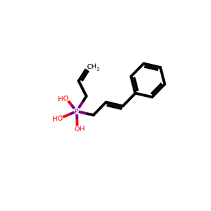 C=CCP(O)(O)(O)CC=Cc1ccccc1